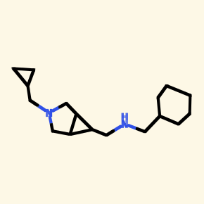 C1CCC(CNCC2C3CN(CC4CC4)CC23)CC1